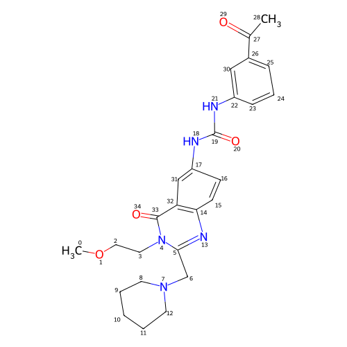 COCCn1c(CN2CCCCC2)nc2ccc(NC(=O)Nc3cccc(C(C)=O)c3)cc2c1=O